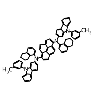 Cc1cccc(-n2c3ccccc3c3ccc(N(c4cccc5c4CCCC5)c4ccc5ccc6c(N(c7ccc8c9ccccc9n(-c9cccc(C)c9)c8c7)c7cccc8c7CCCC8)ccc7ccc4c5c76)cc32)c1